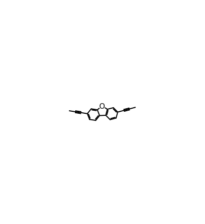 CC#Cc1ccc2c(c1)oc1cc(C#CC)ccc12